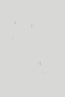 CON1C(C)(C)CC(C(F)(F)F)CC1(C)C